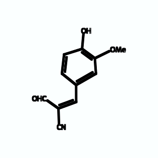 COc1cc(C=C(C#N)C=O)ccc1O